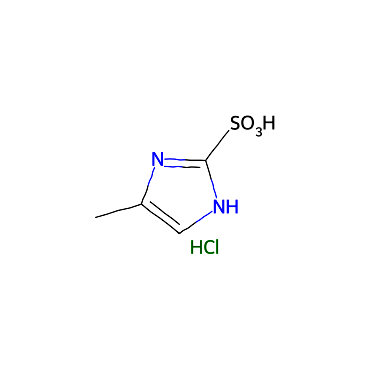 Cc1c[nH]c(S(=O)(=O)O)n1.Cl